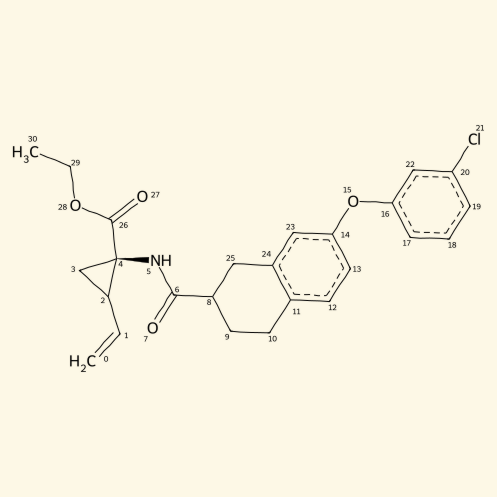 C=CC1C[C@]1(NC(=O)C1CCc2ccc(Oc3cccc(Cl)c3)cc2C1)C(=O)OCC